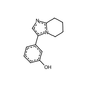 Oc1cccc(-c2cnc3n2CCCC3)c1